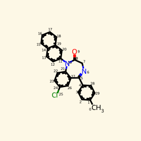 Cc1ccc(C2=NCC(=O)N(c3ccc4ccccc4c3)c3ccc(Cl)cc32)cc1